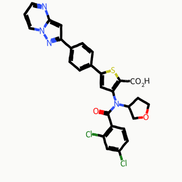 O=C(O)c1sc(-c2ccc(-c3cc4ncccn4n3)cc2)cc1N(C(=O)c1ccc(Cl)cc1Cl)C1CCOC1